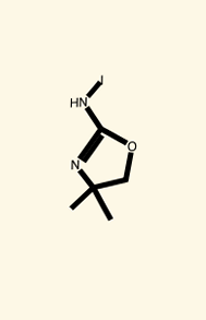 CC1(C)COC(NI)=N1